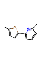 Cc1cccc(-c2ccc(C)s2)n1